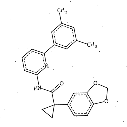 Cc1cc(C)cc(-c2cccc(NC(=O)C3(c4ccc5c(c4)OCO5)CC3)n2)c1